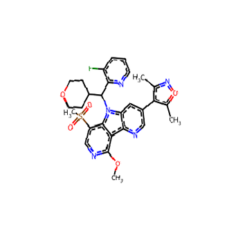 COc1ncc(S(C)(=O)=O)c2c1c1ncc(-c3c(C)noc3C)cc1n2C(c1ncccc1F)C1CCOCC1